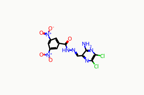 Nc1nc(Cl)c(Cl)nc1C=NNC(=O)c1cc([N+](=O)[O-])cc([N+](=O)[O-])c1